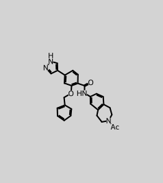 CC(=O)N1CCc2ccc(NC(=O)c3ccc(-c4cn[nH]c4)cc3OCc3ccccc3)cc2CC1